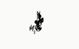 CC1(OC(O)N2CC3(C2)C(=O)N(Cc2ncc4ccccc4c2-c2ccc(C#N)nc2)c2ccccc23)CC1